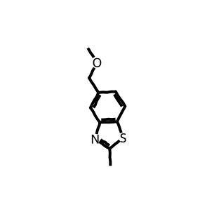 COCc1ccc2sc(C)nc2c1